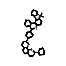 C[Si]1(C)c2ccccc2-c2c1ccc1nc(-c3ccc(-c4ccc5ccc6ccc(-c7ccccc7)nc6c5n4)cc3)c3ccccc3c21